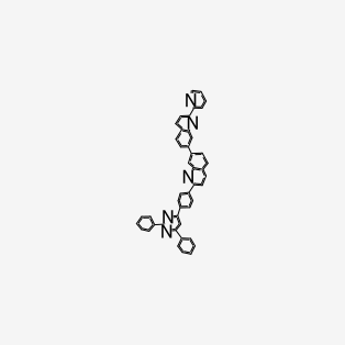 c1ccc(-c2cc(-c3ccc(-c4ccc5ccc(-c6ccc7ccc(-c8ccccn8)nc7c6)cc5n4)cc3)nc(-c3ccccc3)n2)cc1